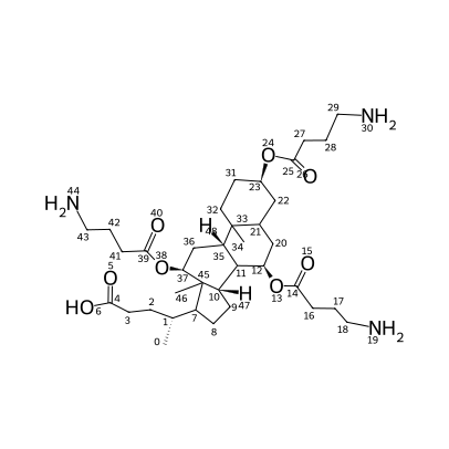 C[C@H](CCC(=O)O)C1CC[C@H]2C3[C@H](OC(=O)CCCN)CC4C[C@H](OC(=O)CCCN)CCC4(C)[C@H]3C[C@H](OC(=O)CCCN)C12C